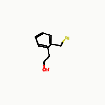 OCCc1ccccc1CS